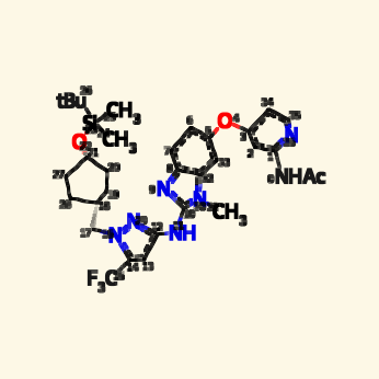 CC(=O)Nc1cc(Oc2ccc3nc(Nc4cc(C(F)(F)F)n(C[C@H]5CC[C@@H](O[Si](C)(C)C(C)(C)C)CC5)n4)n(C)c3c2)ccn1